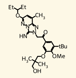 CCC(CC)Oc1cc(C)c2nn(CC(=O)c3cc(OCC(C)(C)CO)c(OC)c(C(C)(C)C)c3)c(=N)n2n1